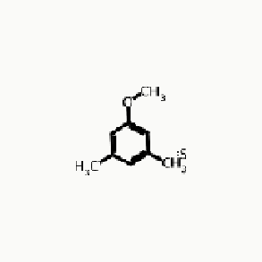 COc1cc(C)cc(C)c1.[S]